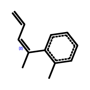 C=C/C=C(/C)c1ccccc1C